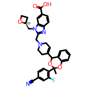 CC1(c2ccc(C#N)cc2F)Oc2ccccc2C(C2=CCN(Cc3nc4ccc(C(=O)O)cc4n3C[C@@H]3CCO3)CC2)O1